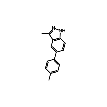 Cc1ccc(-c2ccc3[nH]nc(C)c3c2)cc1